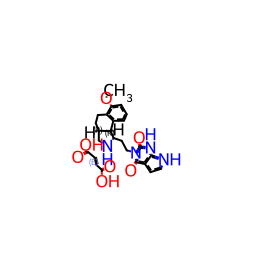 COc1cccc2c1CC[C@H]1CNC(CCn3c(=O)[nH]c4[nH]ccc4c3=O)[C@@H]21.O=C(O)/C=C/C(=O)O